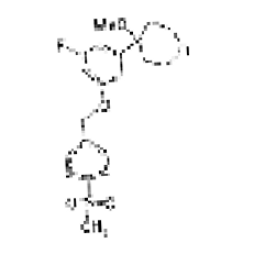 COC1(c2cc(F)cc(OCc3ccc(S(C)(=O)=O)cc3)c2)CCOCC1